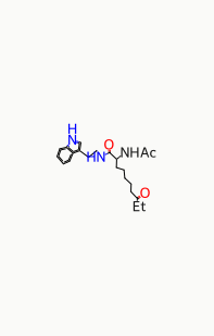 CCC(=O)CCCCCC(NC(C)=O)C(=O)NCCc1c[nH]c2ccccc12